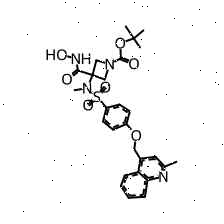 Cc1cc(COc2ccc(S(=O)(=O)N(C)C3(C(=O)NO)CN(C(=O)OC(C)(C)C)C3)cc2)c2ccccc2n1